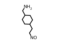 NCC1CCC(CCN=O)CC1